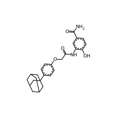 NC(=O)c1ccc(O)c(NC(=O)COc2ccc(C34CC5CC(CC(C5)C3)C4)cc2)c1